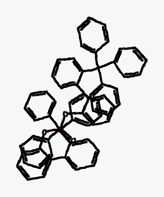 O=C(Oc1ccccc1-c1ccccc1C(c1ccccc1)(c1ccccc1)c1ccccc1)Oc1ccccc1-c1ccccc1C(c1ccccc1)(c1ccccc1)c1ccccc1